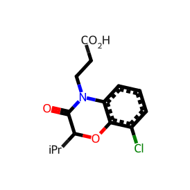 CC(C)C1Oc2c(Cl)cccc2N(CCC(=O)O)C1=O